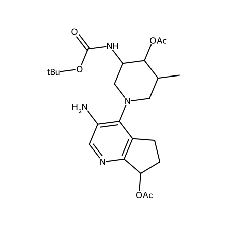 CC(=O)OC1CCc2c1ncc(N)c2N1CC(C)C(OC(C)=O)C(NC(=O)OC(C)(C)C)C1